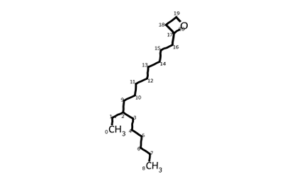 C[CH]C(CCCCCC)CCCCCCCCC1CCO1